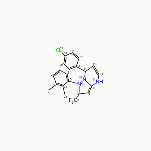 Cc1cccc(N2C(C(F)(F)F)C=C3NC=CC(c4ccc(Cl)cc4)N32)c1C